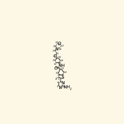 Cc1c(-c2ccnc(N)n2)sc2ccc(C(=O)Nc3ccc(OCCN4CCOCC4)cc3)cc12